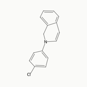 Clc1ccc(N2C=Cc3ccccc3C2)cc1